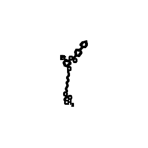 C=CC(=O)OCCCCCCCCOc1ccc(CC)c(OC(=O)c2ccc(-c3ccccc3)cc2)c1